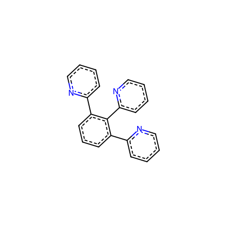 c1ccc(-c2cccc(-c3ccccn3)c2-c2ccccn2)nc1